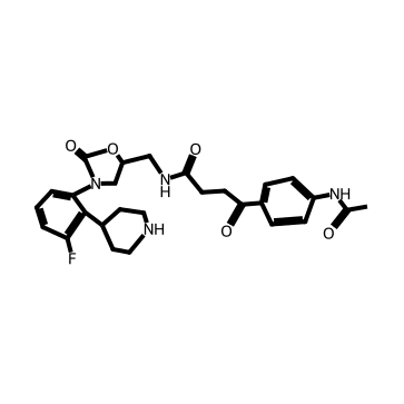 CC(=O)Nc1ccc(C(=O)CCC(=O)NCC2CN(c3cccc(F)c3C3CCNCC3)C(=O)O2)cc1